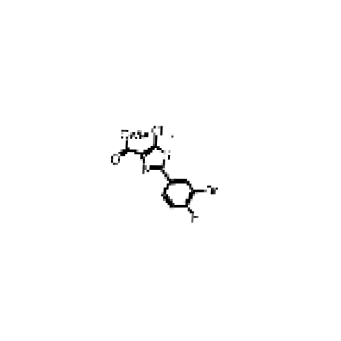 COC(=O)c1nc(-c2ccc(F)c(Br)c2)sc1C